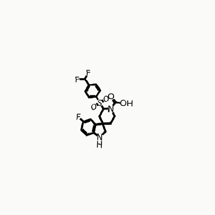 O=C(O)N1CCC2(CNc3ccc(F)cc32)CC1S(=O)(=O)c1ccc(C(F)F)cc1